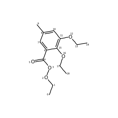 CCOOC(=O)c1cc(C)cc(OCC)c1OCC